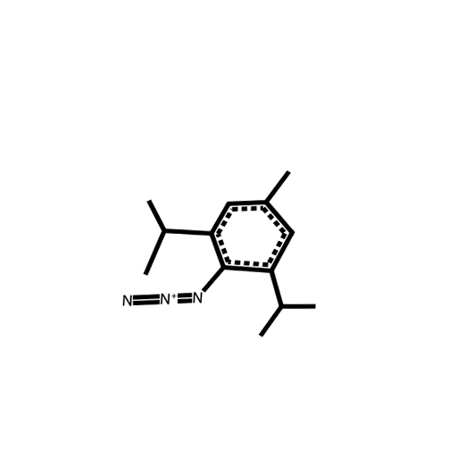 Cc1cc(C(C)C)c(N=[N+]=[N-])c(C(C)C)c1